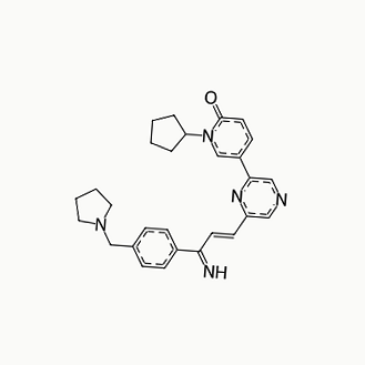 N=C(/C=C/c1cncc(-c2ccc(=O)n(C3CCCC3)c2)n1)c1ccc(CN2CCCC2)cc1